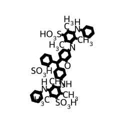 Cc1c(/N=c2\ccc3c(-c4ccccc4S(=O)(=O)O)c4ccc(Nc5c(C)c(Nc6ccccc6)c(C)c(S(=O)(=O)O)c5C)cc4oc-3c2)c(C)c(S(=O)(=O)O)c(C)c1Nc1ccccc1